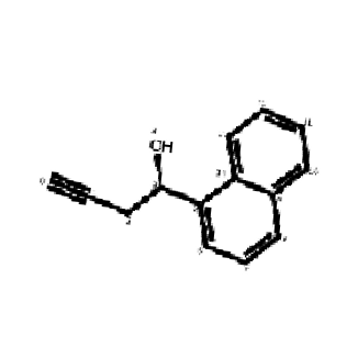 C#CC[C@@H](O)c1cccc2ccccc12